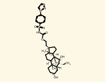 CC[C@H]1[C@@H](O)[C@@H]2[C@H](CC[C@]3(C)[C@@H](CCOC(=O)NS(=O)(=O)c4ccc(-n5ccnn5)cc4)CC[C@@H]23)[C@@]2(C)CC[C@@H](O)C[C@@H]12